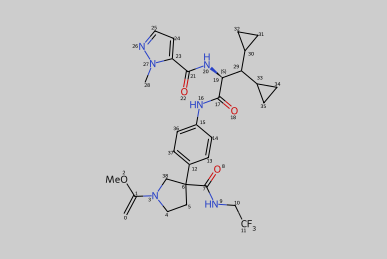 C=C(OC)N1CCC(C(=O)NCC(F)(F)F)(c2ccc(NC(=O)[C@@H](NC(=O)c3ccnn3C)C(C3CC3)C3CC3)cc2)C1